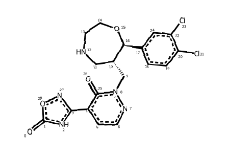 O=c1[nH]c(-c2ccnn(C[C@@H]3CNCCO[C@H]3c3ccc(Cl)c(Cl)c3)c2=O)no1